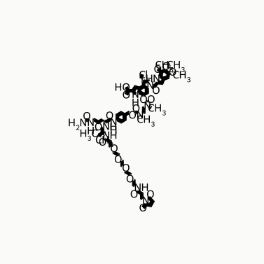 COc1cc2cc(C(=O)N3C[C@@H](CCl)c4c3cc(OC(=O)N(C)CCN(C)C(=O)OCc3ccc(NC(=O)[C@H](CCCNC(N)=O)NC(=O)[C@@H](NC(=O)CCOCCOCCOCCOCCNC(=O)CCN5C(=O)C=CC5=O)C(C)C)cc3)c3[nH]c(C(=O)O)cc43)[nH]c2c(OC)c1OC